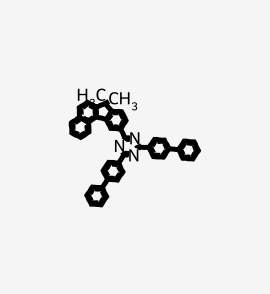 CC1(C)c2ccc(-c3nc(-c4ccc(-c5ccccc5)cc4)nc(-c4ccc(-c5ccccc5)cc4)n3)cc2-c2c1ccc1ccccc21